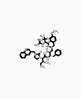 CC[C@H](C)[C@@H](C(=O)N[C@@H](Cc1ccccc1)[C@@H](O)CN(Cc1ccc(OC)cc1)NC(=O)[C@@H](NC(=O)O)C(C)(C)C)N1CCN(Cc2cnc3ccccc3c2)C1=O